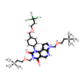 C[Si](C)(C)CCOCn1c(=O)c2cnc3c(ccn3COCC[Si](C)(C)C)c2n(C2CCC(COCCC(F)(F)F)CC2)c1=O